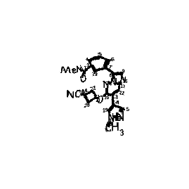 CNC(=O)c1cccc(-c2cnc3cc(-c4cnn(C)c4)c(OC4CC(C#N)C4)nn23)c1